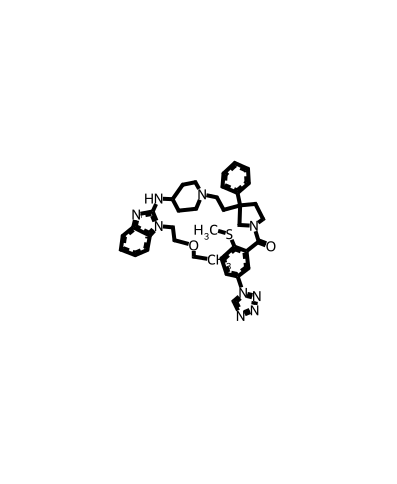 CCOCCn1c(NC2CCN(CCC3(c4ccccc4)CCN(C(=O)c4cc(-n5cnnn5)ccc4SC)C3)CC2)nc2ccccc21